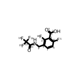 O=C(O)c1c(F)ccc(CNC(=O)C(F)(F)F)c1F